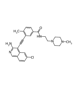 Cc1ccc(C(=O)NCCN2CCN(C)CC2)cc1C#Cc1c(N)ncc2ccc(Cl)cc12